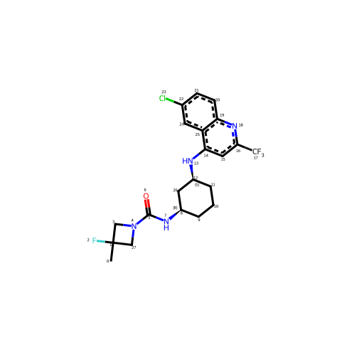 CC1(F)CN(C(=O)N[C@@H]2CCC[C@H](Nc3cc(C(F)(F)F)nc4ccc(Cl)cc34)C2)C1